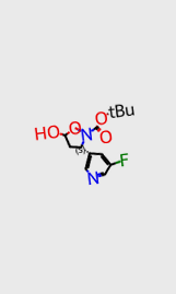 CC(C)(C)OC(=O)N1OC(O)C[C@H]1c1cncc(F)c1